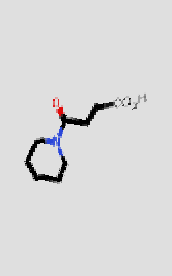 O=C(O)CCC(=O)N1CC[CH]CC1